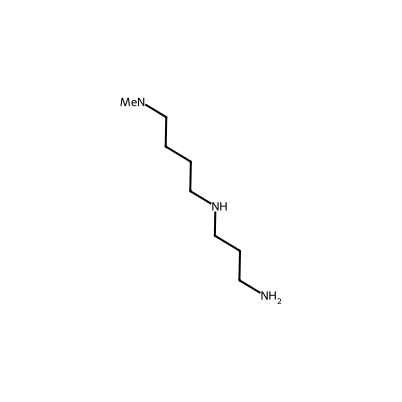 CNCCCCNCCCN